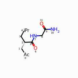 CC(=O)C[C@H](CC(C)C)C(=O)NCC(N)=O